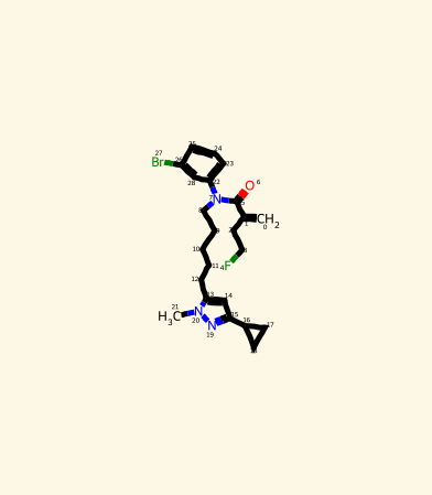 C=C(CCF)C(=O)N(CCCCCc1cc(C2CC2)nn1C)c1cccc(Br)c1